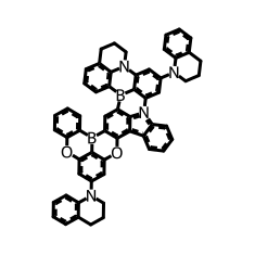 c1ccc2c(c1)CCCN2c1cc2c3c(c1)Oc1c(cc4c5c1c1ccccc1n5-c1cc(N5CCCc6ccccc65)cc5c1B4c1cccc4c1N5CCC4)B3c1ccccc1O2